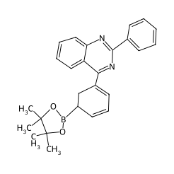 CC1(C)OB(C2C=CC=C(c3nc(-c4ccccc4)nc4ccccc34)C2)OC1(C)C